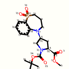 COC(=O)[C@@H]1C[C@H](N2CCCS(=O)(=O)c3ccccc32)CN1C(=O)OC(C)(C)C